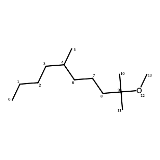 CCCCC(C)CCCC(C)(C)OC